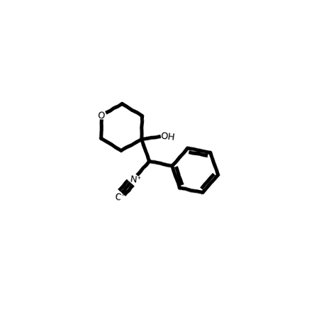 [C-]#[N+]C(c1ccccc1)C1(O)CCOCC1